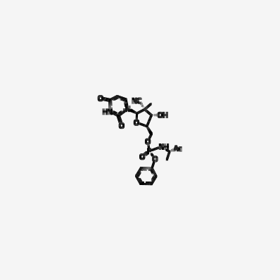 CC(=O)[C@H](C)NP(=O)(OC[C@H]1O[C@@H](n2ccc(=O)[nH]c2=O)[C@](C)(C#N)[C@@H]1O)Oc1ccccc1